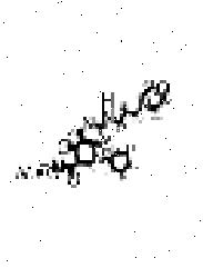 CONC(=O)c1cn(C2CCCCC2)c2nc(NCCCN3CCOCC3)ncc2c1=O